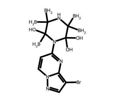 BC1(B)NC(B)(B)C(O)(O)N(c2ccn3ncc(Br)c3n2)C1(B)O